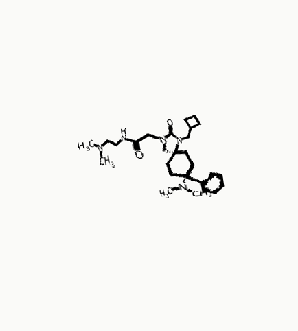 CN(C)CCNC(=O)CN1C[C@]2(CC[C@@](c3ccccc3)(N(C)C)CC2)N(CC2CCC2)C1=O